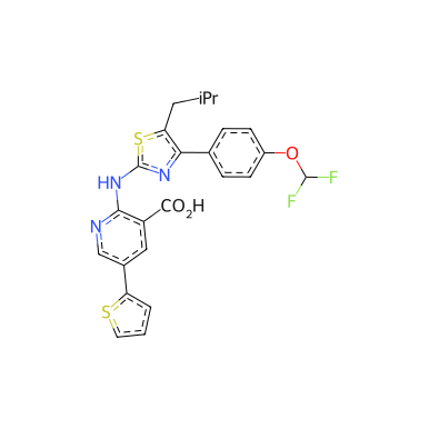 CC(C)Cc1sc(Nc2ncc(-c3cccs3)cc2C(=O)O)nc1-c1ccc(OC(F)F)cc1